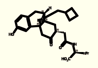 CCC[C@H](NC(=O)C[C@H]1C[C@@]2(O)[C@H]3Cc4ccc(O)cc4[C@@]2(CCN3CC2CCC2)CC1=O)C(=O)O